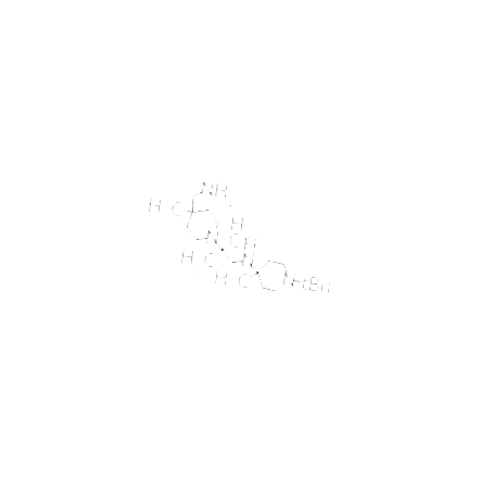 CC1(CN)CCN(C(C)(C)CNC2(C)CCN(C(C)(C)C)CC2)CC1